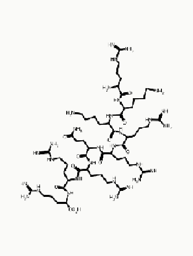 N=C(N)NCCCC(N)C(=O)NC(CCCCN)C(=O)NC(CCCCN)C(=O)NC(CCCNC(=N)N)C(=O)NC(CCCNC(=N)N)C(=O)NC(CCC(N)=O)C(=O)NC(CCCNC(=N)N)C(=O)NC(CCCNC(=N)N)C(=O)NC(CCCNC(=N)N)C(=O)O